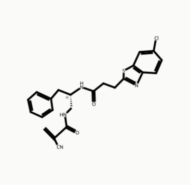 C=C(C#N)C(=O)NC[C@H](Cc1ccccc1)NC(=O)CCc1nc2ccc(Cl)cc2s1